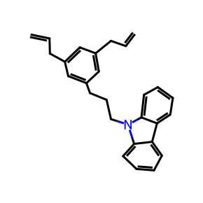 C=CCc1cc(CC=C)cc(CCCn2c3ccccc3c3ccccc32)c1